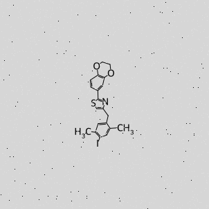 Cc1cc(Cc2csc(-c3ccc4c(c3)OCCO4)n2)c(C)cc1I